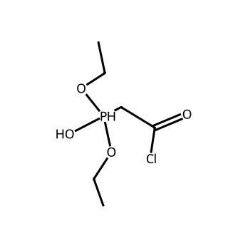 CCO[PH](O)(CC(=O)Cl)OCC